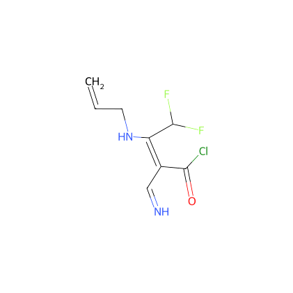 C=CCN/C(=C(\C=N)C(=O)Cl)C(F)F